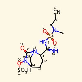 CN(CCC#N)S(=O)(=O)NC(=N)C1CCC2CN1C(=O)N2OS(=O)(=O)O